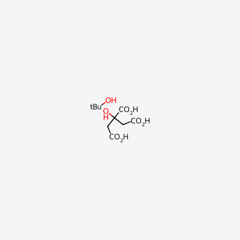 CC(C)(C)O.O=C(O)CC(O)(CC(=O)O)C(=O)O